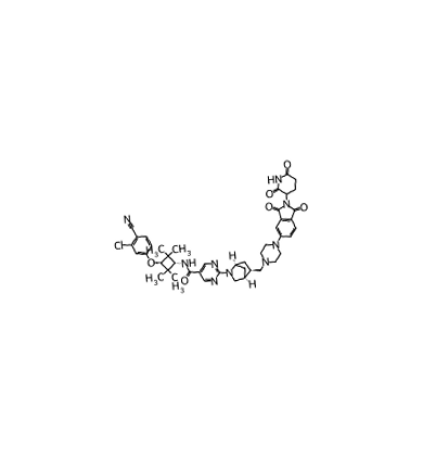 CC1(C)[C@H](NC(=O)c2cnc(N3C[C@H]4C[C@@H]3C[C@H]4CN3CCN(c4ccc5c(c4)C(=O)N(C4CCC(=O)NC4=O)C5=O)CC3)nc2)C(C)(C)[C@H]1Oc1ccc(C#N)c(Cl)c1